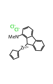 CNc1cccc2c1[CH]([Zr+2][C]1=CC=CC1)c1ccccc1-2.[Cl-].[Cl-]